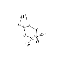 COC1CCS(=O)(=O)C(O)C1